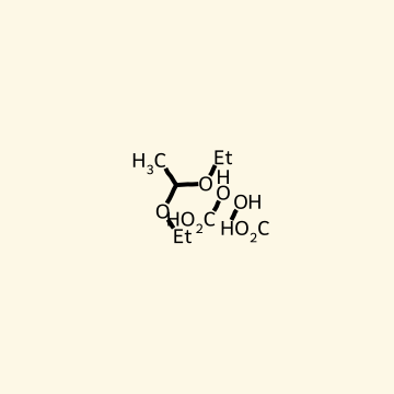 CCOC(C)OCC.O=C(O)O.O=C(O)O